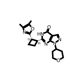 Cc1nc([C@H]2CC[C@H]2c2nc3c(cnn3C3CCOCC3)c(=O)[nH]2)oc1C